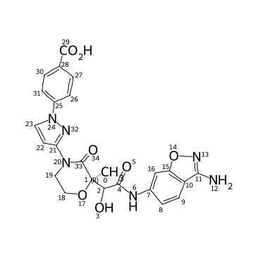 C[C@]1(C(O)C(=O)Nc2ccc3c(N)noc3c2)OCCN(c2ccn(-c3ccc(C(=O)O)cc3)n2)C1=O